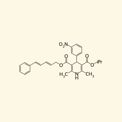 CC1=C(C(=O)OC/C=C/C=C/c2ccccc2)C(c2cccc([N+](=O)[O-])c2)C(C(=O)OC(C)C)=C(C)N1